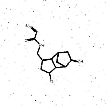 C=CC(=O)NCC1CC(CC)C2C3CC(CC3O)C12